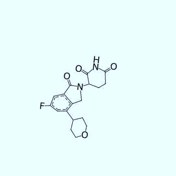 O=C1CCC(N2Cc3c(cc(F)cc3C3CCOCC3)C2=O)C(=O)N1